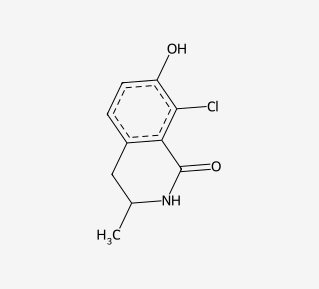 CC1Cc2ccc(O)c(Cl)c2C(=O)N1